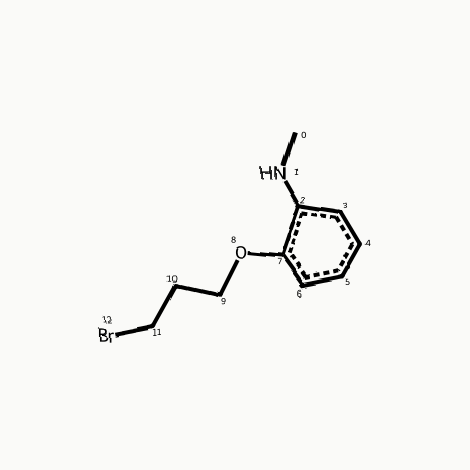 CNc1ccccc1OCCCBr